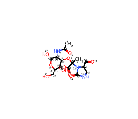 CC(=O)N[C@@H]1[C@@H](OC(C)(C(=O)O)N2C(=O)NCC2C=O)[C@H](O)[C@@H](CO)O[C@@H]1O